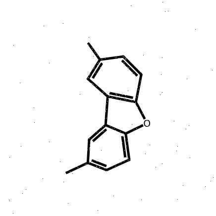 Cc1ccc2oc3ccc(C)cc3c2c1